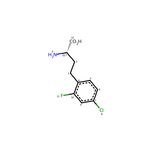 N[C@@H](CCc1ccc(Cl)cc1F)C(=O)O